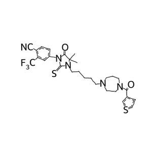 CC1(C)C(=O)N(c2ccc(C#N)c(C(F)(F)F)c2)C(=S)N1CCCCCN1CCCN(C(=O)c2ccsc2)CC1